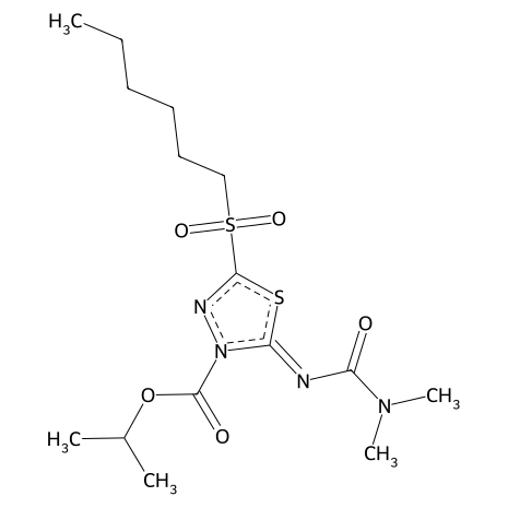 CCCCCCS(=O)(=O)c1nn(C(=O)OC(C)C)c(=NC(=O)N(C)C)s1